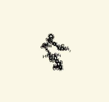 CC(=O)[C@]1(O)Cc2cc3c(cc2[C@@H](O[C@H]2C[C@@H](NC(=O)OCCSSC[C@@H](NC(=O)CC[C@@H](NC(=O)c4ccc(NCc5cnc6nc(N)[nH]c(=O)c6n5)cc4)C(=O)OC4/C=C/CCCCC4)C(=O)O)[C@H](O)CO2)C1)-c1c(N=O)oc2cccc(c12)C3=O